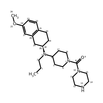 CCCN(C1CCN(C(=O)N2CCNCC2)CC1)[C@@H]1CCc2ccc(OC)cc2C1